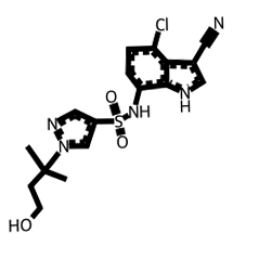 CC(C)(CCO)n1cc(S(=O)(=O)Nc2ccc(Cl)c3c(C#N)c[nH]c23)cn1